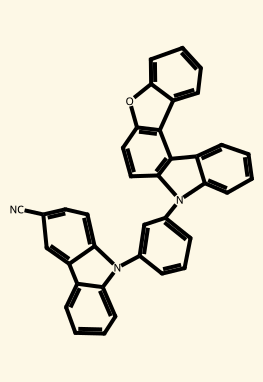 N#Cc1ccc2c(c1)c1ccccc1n2-c1cccc(-n2c3ccccc3c3c4c(ccc32)oc2ccccc24)c1